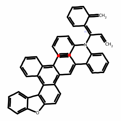 C=C/C(=c1/ccccc1=C)N(c1ccccc1)c1ccccc1-c1ccc2c3ccccc3c3c(ccc4oc5ccccc5c43)c2c1